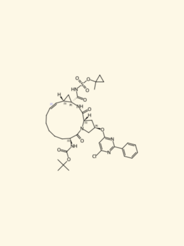 CC(C)(C)OC(=O)N[C@H]1CCCCC/C=C\[C@@H]2C[C@@]2(C(=O)NS(=O)(=O)OC2(C)CC2)NC(=O)[C@@H]2C[C@@H](Oc3cc(Cl)nc(-c4ccccc4)n3)CN2C1=O